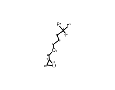 FC(F)(F)CCCOCC1CO1